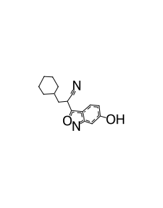 N#CC(CC1CCCCC1)c1onc2cc(O)ccc12